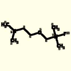 CN(C)CCOC[Si](C)(C)F